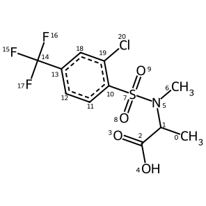 CC(C(=O)O)N(C)S(=O)(=O)c1ccc(C(F)(F)F)cc1Cl